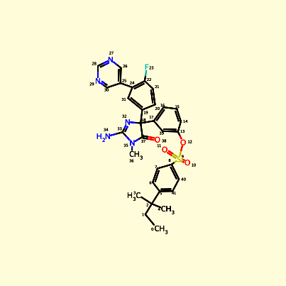 CCC(C)(C)c1ccc(S(=O)(=O)Oc2cccc(C3(c4ccc(F)c(-c5cncnc5)c4)N=C(N)N(C)C3=O)c2)cc1